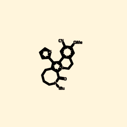 [C-]#[N+]c1cc2c(cc1OC)CCn1c3c(c(-c4cccs4)c1-2)CCCCN(C(C)(C)C)C3=O